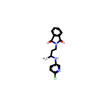 CC(CCN1C(=O)c2ccccc2C1=O)Nc1ccc(Cl)nc1